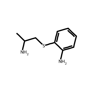 CC(N)CSc1ccccc1N